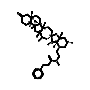 CC1C[C@]2(CC[C@H]3[C@@H]4CC[C@@H]5CC(=O)CC[C@]5(C)[C@H]4C[C@@H]13)O[C@@H]1C[C@H](C)CN(CCN(C)C(=O)CCc3ccccc3)[C@H]1[C@H]2C